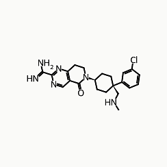 CNC[C@]1(c2cccc(Cl)c2)CC[C@H](N2CCc3nc(C(=N)N)ncc3C2=O)CC1